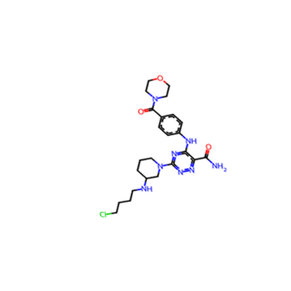 NC(=O)c1nnc(N2CCCC(NCCCCCl)C2)nc1Nc1ccc(C(=O)N2CCOCC2)cc1